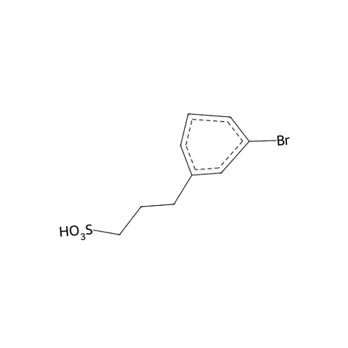 O=S(=O)(O)CCCc1cccc(Br)c1